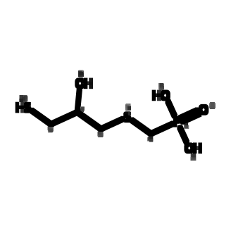 O=P(O)(O)CSCC(O)CS